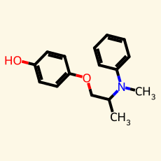 CC(COc1ccc(O)cc1)N(C)c1ccccc1